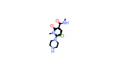 CNC(=O)c1ccc(N2CCNCC2)n(C)c1=O.Cl